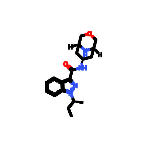 CC[C@H](C)n1nc(C(=O)N[C@H]2C[C@H]3COC[C@@H](C2)N3)c2ccccc21